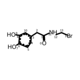 O=C(Cc1ccc(O)c(O)c1)NCCBr